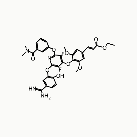 CCOC(=O)C=Cc1cc(OC)c(Oc2c(F)c(Oc3cccc(C(=O)N(C)C)c3)nc(Oc3cc(C(=N)N)ccc3O)c2F)c(OC)c1